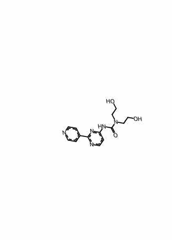 O=C(Nc1ccnc(-c2ccncc2)n1)N(CCO)CCO